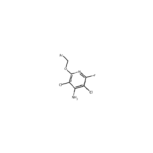 CC(=O)COc1nc(F)c(Cl)c(N)c1Cl